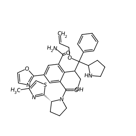 C=CCOC(c1ccccc1)(C1CCCN1)C(CO)c1c(C(N)=O)cc(-c2ncco2)cc1C(=O)N1CCC[C@@H]1c1nc(C)cs1